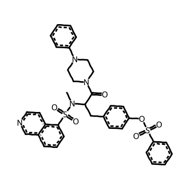 CN(C(Cc1ccc(OS(=O)(=O)c2ccccc2)cc1)C(=O)N1CCN(c2ccccc2)CC1)S(=O)(=O)c1cccc2cnccc12